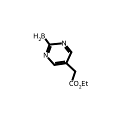 Bc1ncc(CC(=O)OCC)cn1